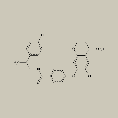 CC(CNC(=O)c1ccc(Oc2cc3c(cc2Cl)C(C(=O)O)CCO3)cc1)c1ccc(Cl)cc1